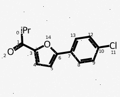 CC(C)C(=O)c1ccc(-c2ccc(Cl)cc2)o1